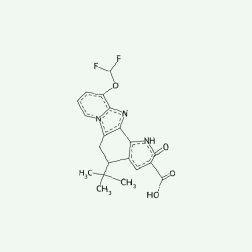 CC(C)(C)C1Cc2c(nc3c(OC(F)F)cccn23)-c2[nH]c(=O)c(C(=O)O)cc21